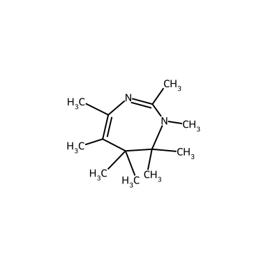 CC1=NC(C)=C(C)C(C)(C)C(C)(C)N1C